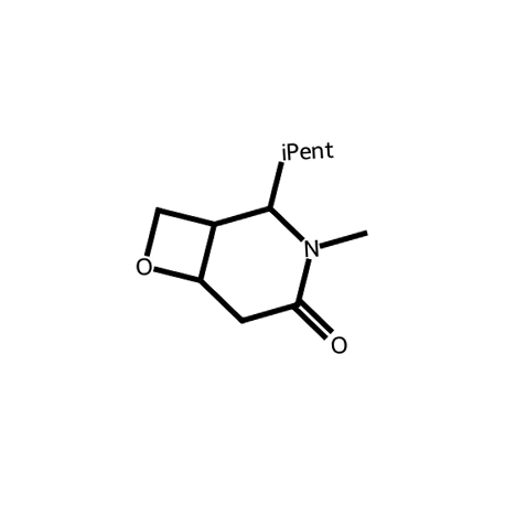 CCCC(C)C1C2COC2CC(=O)N1C